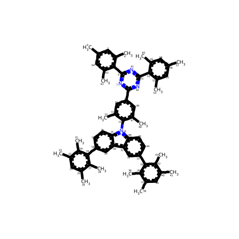 Cc1cc(C)c(-c2nc(-c3cc(C)c(-n4c5ccc(-c6c(C)c(C)cc(C)c6C)cc5c5cc(-c6c(C)c(C)cc(C)c6C)ccc54)c(C)c3)nc(-c3c(C)cc(C)cc3C)n2)c(C)c1